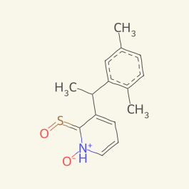 Cc1ccc(C)c(C(C)C2=CC=C[NH+]([O-])C2=S=O)c1